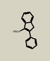 CCCCCCCCCC1=C(c2ccccc2)[CH]c2ccccc21